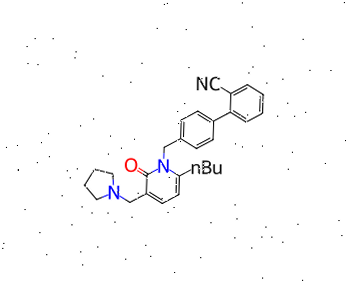 CCCCc1ccc(CN2CCCC2)c(=O)n1Cc1ccc(-c2ccccc2C#N)cc1